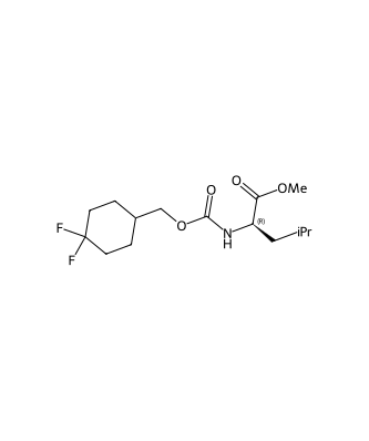 COC(=O)[C@@H](CC(C)C)NC(=O)OCC1CCC(F)(F)CC1